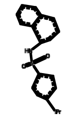 CC(C)c1ccc(S(=O)(=O)Nc2cccc3ccccc23)cc1